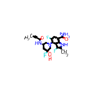 CC#CC(=O)N[C@@H]1CN(c2c(F)cc(C(N)=O)c3[nH]c(C)c(F)c23)CC(O)(F)C1